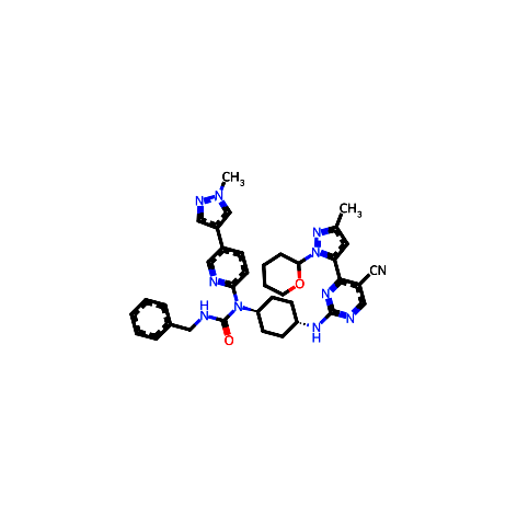 Cc1cc(-c2nc(N[C@H]3CC[C@H](N(C(=O)NCc4ccccc4)c4ccc(-c5cnn(C)c5)cn4)CC3)ncc2C#N)n(C2CCCCO2)n1